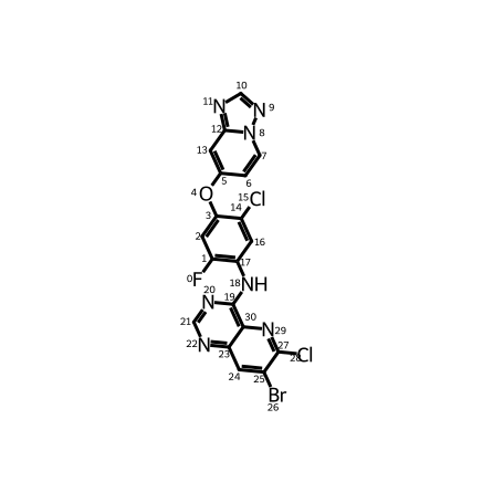 Fc1cc(Oc2ccn3ncnc3c2)c(Cl)cc1Nc1ncnc2cc(Br)c(Cl)nc12